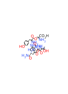 C[C@@H](O)[C@H](N)C(=O)OC(=O)[C@@H](N)CCC(N)=O.NC(=O)C[C@H](N)C(=O)O.N[C@@H](COC(=O)[C@@H](N)Cc1ccc(O)cc1)C(=O)O